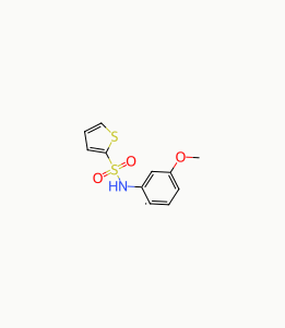 COc1cc[c]c(NS(=O)(=O)c2cccs2)c1